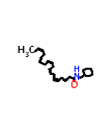 CC/C=C\C/C=C\C/C=C\C/C=C\C/C=C\CCCC(=O)NCC1CCCCC1